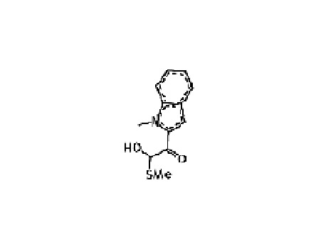 CSC(O)C(=O)c1cc2ccccc2n1C